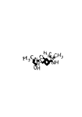 CCN(CC)C(=N)c1ccc(CSc2nc(C)cc(O)n2)c(Cl)c1